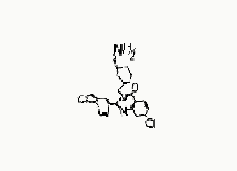 NCC1CCCC(Cn2c(-c3ccc4cocc4c3)nc3cc(Cl)ccc3c2=O)C1